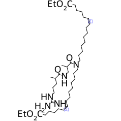 CCOC(=O)CCCC/C=C\CCCCCCCCN(CCCCCCCC/C=C\CCCCC(=O)OCC)C(=O)C(C)CNC(=O)C(C)CCCNC(=N)N